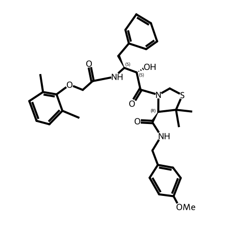 COc1ccc(CNC(=O)[C@H]2N(C(=O)[C@@H](O)[C@H](Cc3ccccc3)NC(=O)COc3c(C)cccc3C)CSC2(C)C)cc1